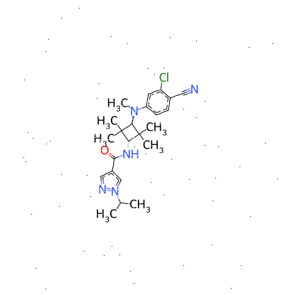 CC(C)n1cc(C(=O)N[C@H]2C(C)(C)[C@H](N(C)c3ccc(C#N)c(Cl)c3)C2(C)C)cn1